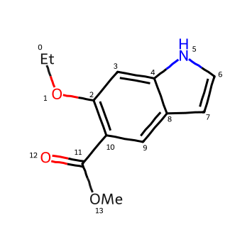 CCOc1cc2[nH]ccc2cc1C(=O)OC